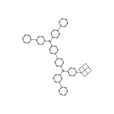 c1ccc(-c2ccc(N(c3ccc(-c4ccccc4)cc3)c3ccc(-c4ccc(N(c5ccc(C67CC8CC9CC(C6)C987)cc5)c5cccc(-c6ccccc6)c5)cc4)cc3)cc2)cc1